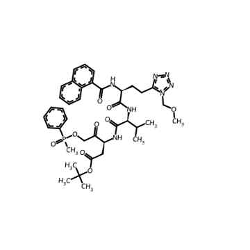 COCn1nnnc1CC[C@H](NC(=O)c1cccc2ccccc12)C(=O)N[C@H](C(=O)N[C@@H](CC(=O)OC(C)(C)C)C(=O)COP(C)(=O)c1ccccc1)C(C)C